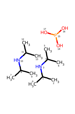 CC(C)NC(C)C.CC(C)NC(C)C.OP(O)O